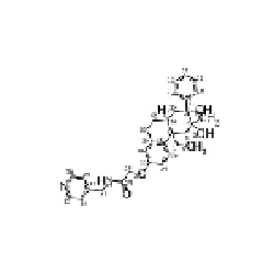 CCC12CC(C)(O)[C@](O)(c3ccccc3)C[C@@H]1CCc1cc(OCC(=O)NCc3ccncc3)ccc12